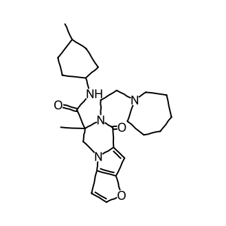 CC1CCC(NC(=O)C2(C)Cn3c(cc4occc43)C(=O)N2CCN2CCCCCC2)CC1